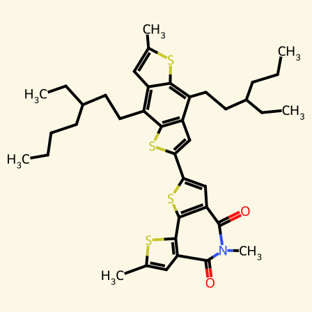 CCCCC(CC)CCc1c2cc(C)sc2c(CCC(CC)CCC)c2cc(-c3cc4c(=O)n(C)c(=O)c5cc(C)sc5c4s3)sc12